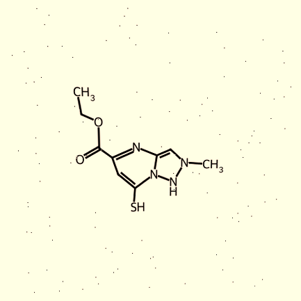 CCOC(=O)C1=NC2=CN(C)NN2C(S)=C1